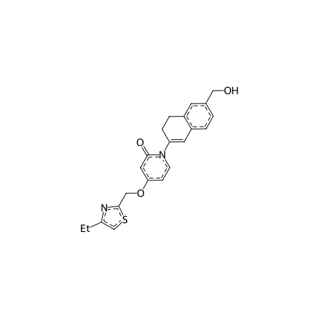 CCc1csc(COc2ccn(C3=Cc4ccc(CO)cc4CC3)c(=O)c2)n1